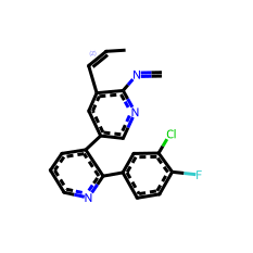 C=Nc1ncc(-c2cccnc2-c2ccc(F)c(Cl)c2)cc1/C=C\C